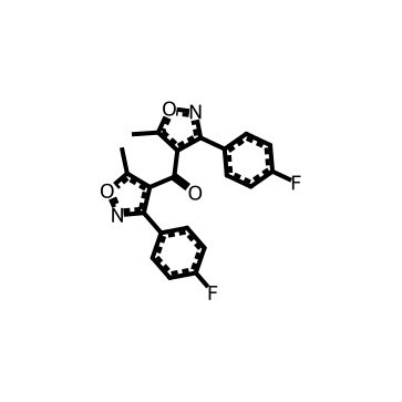 Cc1onc(-c2ccc(F)cc2)c1C(=O)c1c(-c2ccc(F)cc2)noc1C